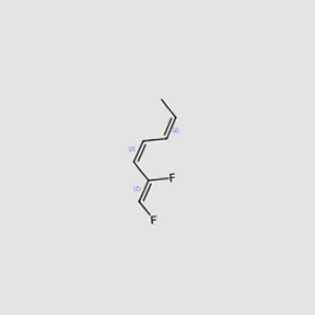 C\C=C/C=C\C(F)=C\F